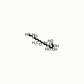 C=C(CCC(=O)NCCO)CC(=O)NCCO[C@H]1O[C@H](CO)[C@@H](O)[C@H](O)[C@@H]1O